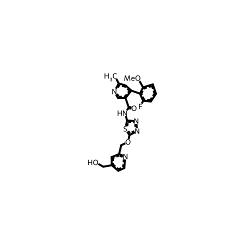 COc1cccc(F)c1-c1cc(C)ncc1C(=O)Nc1nnc(OCc2cc(CO)ccn2)s1